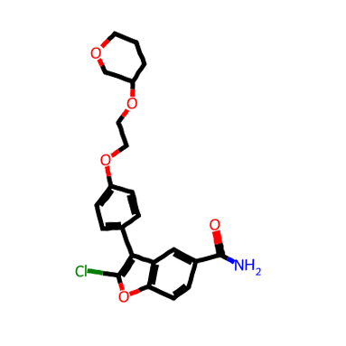 NC(=O)c1ccc2oc(Cl)c(-c3ccc(OCCOC4CCCOC4)cc3)c2c1